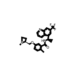 Cc1ccc(OC[C@@H]2CCN2C)cc1C(=O)NC1(c2cc(C(F)(F)F)cc3ncccc23)CC1